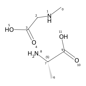 CNCC(=O)O.C[C@H](N)C(=O)O